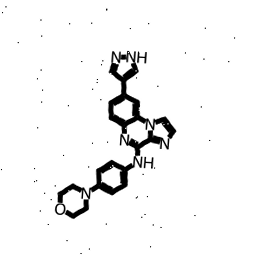 c1cn2c(n1)c(Nc1ccc(N3CCOCC3)cc1)nc1ccc(-c3cn[nH]c3)cc12